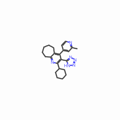 Cc1cc(-c2c3c(nc(C4CCCCC4)c2-c2nnn[nH]2)CCCCC3)ccn1